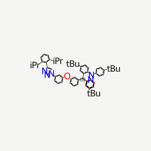 CC(C)c1cccc(C(C)C)c1-c1cn(-c2cccc(Oc3cccc([C@H](c4ccccn4)c4cc(C(C)(C)C)ccc4N(c4ccc(C(C)(C)C)cc4)c4ccc(C(C)(C)C)cc4)c3)c2)nn1